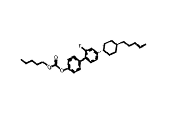 CCCCCOC(=O)Oc1ccc(-c2ccc([C@H]3CC[C@H](CCCCC)CC3)cc2F)cc1